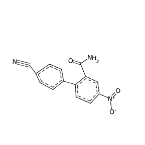 N#Cc1ccc(-c2ccc([N+](=O)[O-])cc2C(N)=O)cc1